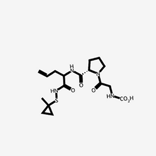 C=CCC(NC(=O)[C@@H]1CCCN1C(=O)CNC(=O)O)C(=O)NSC1(C)CC1